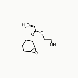 C1CCC2OC2C1.C=CC(=O)OCCO